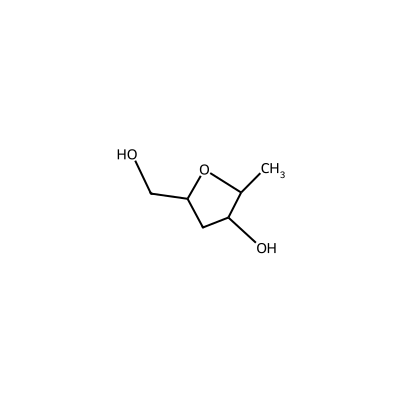 CC1OC(CO)CC1O